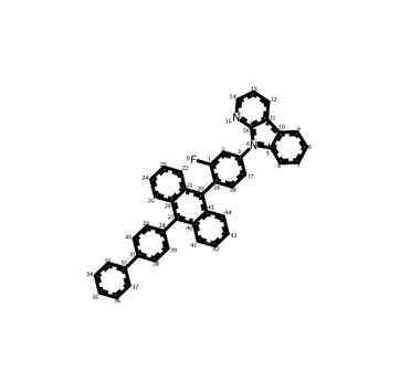 Fc1cc(-n2c3ccccc3c3cccnc32)ccc1-c1c2ccccc2c(-c2ccc(-c3ccccc3)cc2)c2ccccc12